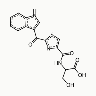 O=C(NC(CO)C(=O)O)c1csc(C(=O)c2c[nH]c3ccccc23)n1